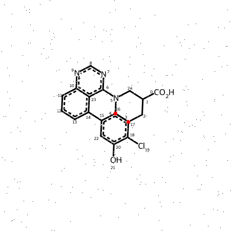 O=C(O)C1CCCN(c2ncnc3cccc(-c4ccc(Cl)c(O)c4)c23)C1